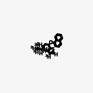 [2H]c1sc(C(CC([2H])([2H])NC([2H])([2H])[2H])Oc2cccc3ccccc23)c([2H])c1[2H]